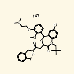 COc1c(OCCN(C)C)cccc1C1OC(CC(=O)NCc2ccccc2F)C(=O)N(CC(C)(C)C)c2ccc(Cl)cc21.Cl